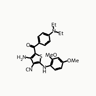 [C-]#[N+]c1c(Nc2ccc(OC)cc2OC)sc(C(=O)c2ccc(N(CC)CC)cc2)c1N